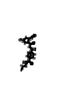 N#C[C@@H]1C[C@H](F)CN1C(=O)CNC12CCC(C(=O)NCCF)(CC1)CC2